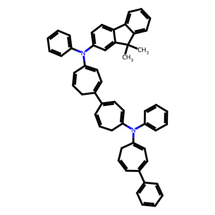 CC1(C)c2ccccc2-c2ccc(N(C3=CC=C(C4=CC=C(N(C5=CC=C(c6ccccc6)C=CC5)c5ccccc5)CC=C4)CC=C3)c3ccccc3)cc21